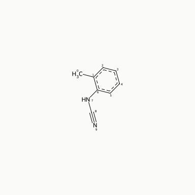 Cc1ccccc1NC#N